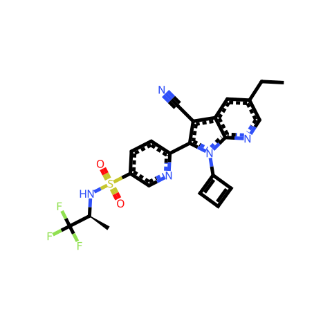 CCc1cnc2c(c1)c(C#N)c(-c1ccc(S(=O)(=O)N[C@@H](C)C(F)(F)F)cn1)n2C1=CC=C1